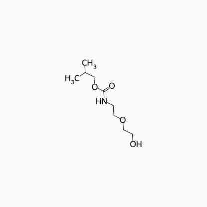 CC(C)COC(=O)NCCOCCO